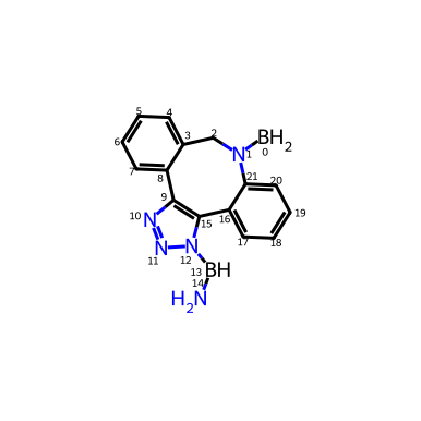 BN1Cc2ccccc2-c2nnn(BN)c2-c2ccccc21